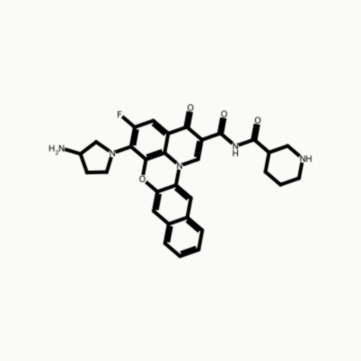 NC1CCN(c2c(F)cc3c(=O)c(C(=O)NC(=O)C4CCCNC4)cn4c3c2Oc2cc3ccccc3cc2-4)C1